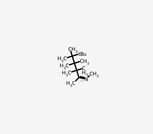 C/N=C(/C)C(C)(C)C(C)(C)C(C)(C)C(C)(C)C